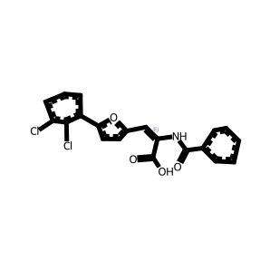 O=C(O)/C(=C\c1ccc(-c2cccc(Cl)c2Cl)o1)NC(=O)c1ccccc1